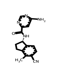 Cc1c(C#N)ccc2c1CC[C@@H]2NC(=O)c1cc(N)ncn1